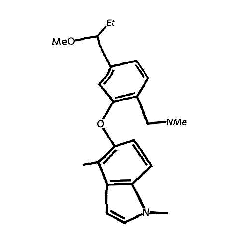 CCC(OC)c1ccc(CNC)c(Oc2ccc3c(ccn3C)c2C)c1